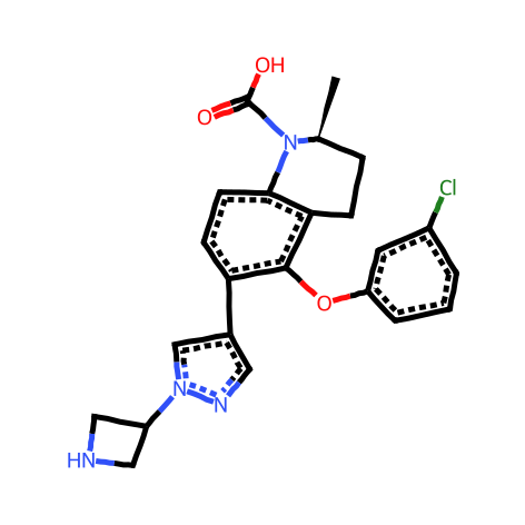 C[C@H]1CCc2c(ccc(-c3cnn(C4CNC4)c3)c2Oc2cccc(Cl)c2)N1C(=O)O